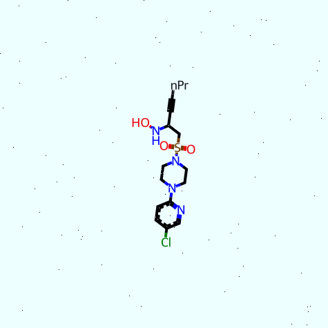 CCCC#CC(CS(=O)(=O)N1CCN(c2ccc(Cl)cn2)CC1)NO